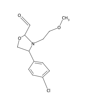 COCCN1C(C=O)OCC1c1ccc(Cl)cc1